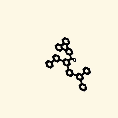 O=C(c1cc(-c2cccc(-c3ccccc3)c2)cc(-c2cccc(-c3cc(-c4ccccc4)cc(-c4ccccc4)c3)c2)c1)c1ccc2c3ccccc3c3ccccc3c2c1